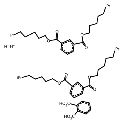 CC(C)CCCCCOC(=O)c1cccc(C(=O)OCCCCCC(C)C)c1.CC(C)CCCCCOC(=O)c1cccc(C(=O)OCCCCCC(C)C)c1.O=C(O)c1ccccc1C(=O)O.[H+].[H+]